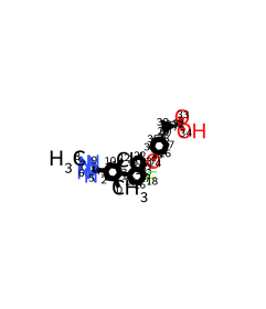 Cc1cc(-c2nnn(C)n2)cc(C)c1-c1ccc(F)c2c1CCC2Oc1ccc([C@H]2C[C@@H]2C(=O)O)cc1